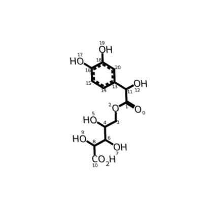 O=C(OCC(O)C(O)C(O)C(=O)O)C(O)c1ccc(O)c(O)c1